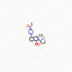 C=CC(=O)N1CCN(c2cccc3c(=O)n(C4=C(O)C=CCC4F)c(C(F)(F)F)cc23)CC1